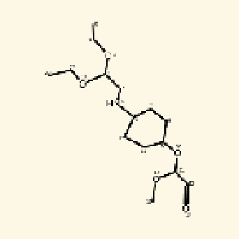 CCOC(CNC1CCC(OC(C=O)OC)CC1)OCC